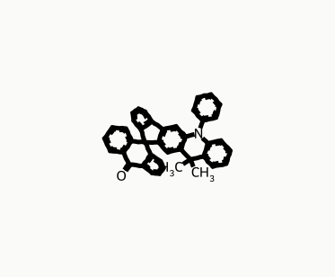 CC1(C)c2ccccc2N(c2ccccc2)c2cc3c(cc21)C1(c2ccccc2C(=O)c2ccccc21)c1ccccc1-3